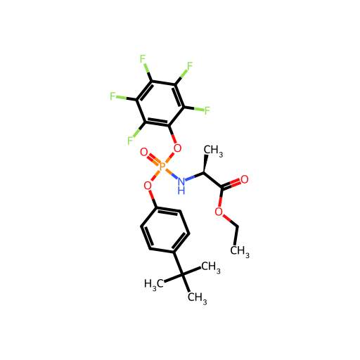 CCOC(=O)[C@H](C)NP(=O)(Oc1ccc(C(C)(C)C)cc1)Oc1c(F)c(F)c(F)c(F)c1F